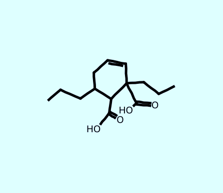 CCCC1CC=CC(CCC)(C(=O)O)C1C(=O)O